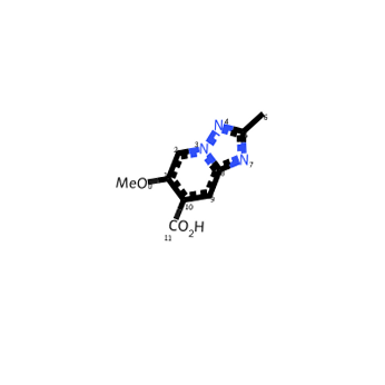 COc1cn2nc(C)nc2cc1C(=O)O